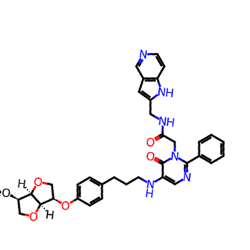 CO[C@@H]1CO[C@H]2[C@@H]1OC[C@H]2Oc1ccc(CCCNc2cnc(-c3ccccc3)n(CC(=O)NCc3cc4cnccc4[nH]3)c2=O)cc1